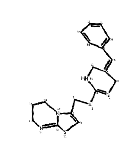 C1=C(CSC2=NC/C(=C/c3ccccc3)CN2)N2CCCN=C2S1